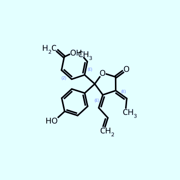 C=C/C=C1\C(=C/C)C(=O)OC1(C(/C=C\C(=C)O)=C/C)c1ccc(O)cc1